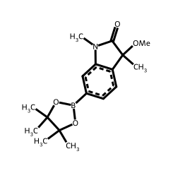 COC1(C)C(=O)N(C)c2cc(B3OC(C)(C)C(C)(C)O3)ccc21